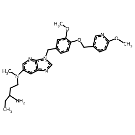 CCC(N)CCN(C)c1cnc2c(c1)ncn2Cc1ccc(OCc2ccc(OC)nc2)c(OC)c1